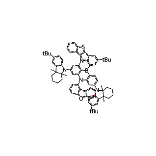 CC(C)(C)c1ccc2c(c1)C1(C)CCCCC1(C)N2c1ccc2c(c1)N(c1cccc3oc4ccccc4c13)c1cc(N3c4ccc(C(C)(C)C)cc4C4(C)CCCCC34C)cc3c1B2c1cc(C(C)(C)C)cc2c4sc5ccccc5c4n-3c12